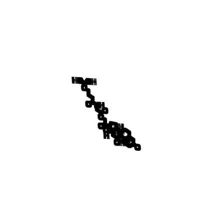 C[C@]12C=CC(=O)C=C1CC[C@@H]1[C@@H]2[C@@H](O)C[C@@]2(C)[C@H]1CC[C@]2(O)C(=O)COC(=O)CNC(=O)CCCON(O)O